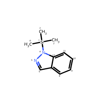 C[Si](C)(C)n1n[c]c2ccccc21